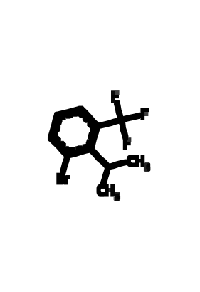 CC(C)c1c(Br)cccc1C(F)(F)F